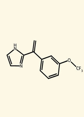 C=C(c1cccc(OC(F)(F)F)c1)c1ncc[nH]1